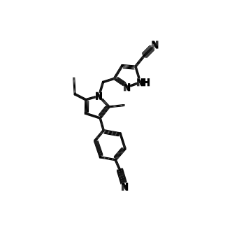 CCc1cc(-c2ccc(C#N)cc2)c(C)n1Cc1cc(C#N)[nH]n1